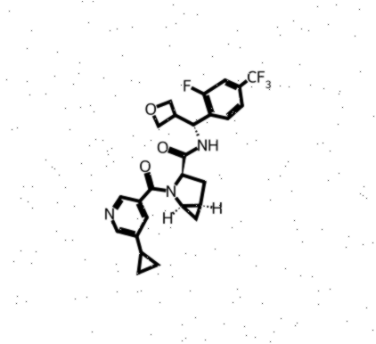 O=C(N[C@@H](c1ccc(C(F)(F)F)cc1F)C1COC1)[C@H]1C[C@H]2C[C@H]2N1C(=O)c1cncc(C2CC2)c1